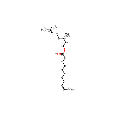 CCCCCCCC/C=C\CCCCCCCC(=O)OCC[C@@H](C)CCC=C(C)C